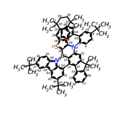 CC(C)(C)c1ccc(N2c3cc4c(c5c3B(c3sc6cc7c(cc6c32)C(C)(C)CCC7(C)C)n2c3ccc(C(C)(C)C)cc3c3cc(C(C)(C)C)cc-5c32)-c2ccccc2C4(C)C)c(-c2ccccc2)c1